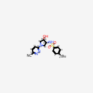 CC(C)(C)c1ccc(S(=O)(=O)N[C@H]2CN(c3ccc(C#N)nn3)C[C@H]2O)cc1